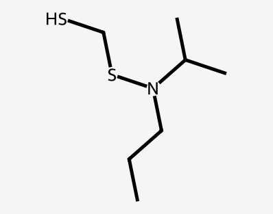 CCCN(SCS)C(C)C